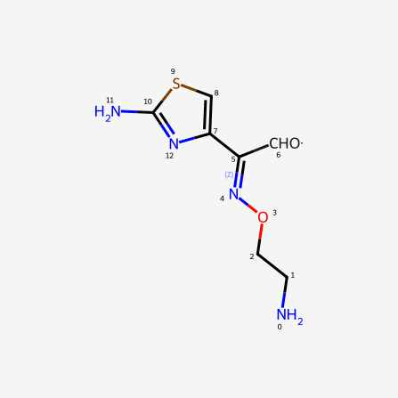 NCCO/N=C(\[C]=O)c1csc(N)n1